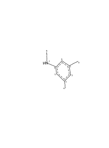 Cc1cc(C)cc(NI)c1